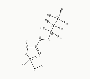 CCC(C)(C)CC(C)C(=O)OCC(F)(F)C(F)(F)C(F)(F)F